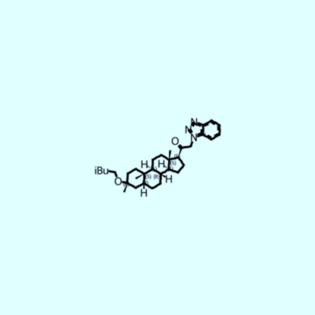 CCC(C)CO[C@]1(C)CC[C@@]2(C)[C@H](CC[C@@H]3[C@@H]2CC[C@]2(C)[C@@H](C(=O)Cn4nnc5ccccc54)CC[C@@H]32)C1